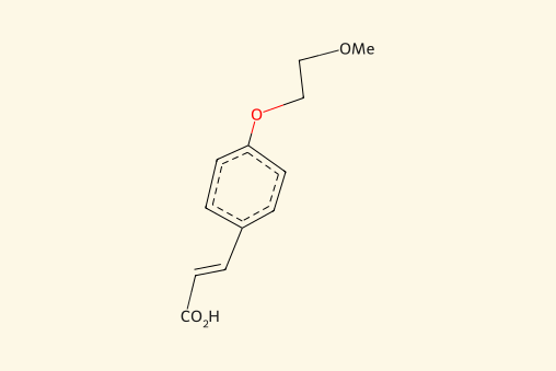 COCCOc1ccc(/C=C/C(=O)O)cc1